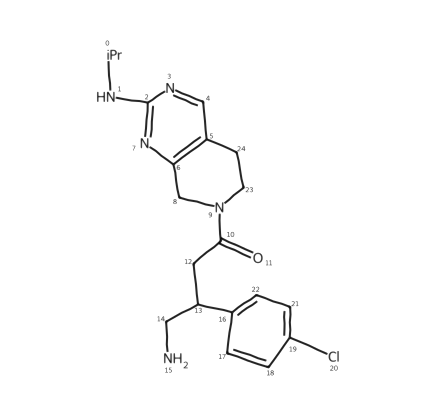 CC(C)Nc1ncc2c(n1)CN(C(=O)CC(CN)c1ccc(Cl)cc1)CC2